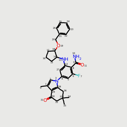 Cc1cn(-c2cc(F)c(C(N)=O)c(NC3CCCC3OCc3ccccc3)c2)c2c1C(=O)CC(C)(C)C2